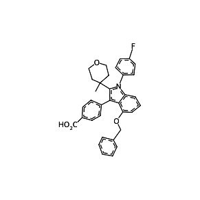 CC1(c2c(-c3ccc(C(=O)O)cc3)c3c(OCc4ccccc4)cccc3n2-c2ccc(F)cc2)CCOCC1